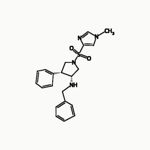 Cn1cnc(S(=O)(=O)N2C[C@H](NCc3ccccc3)[C@H](c3ccccc3)C2)c1